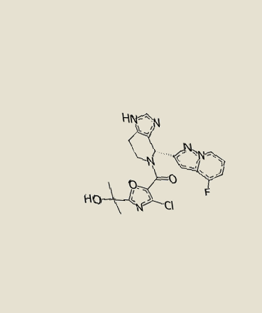 CC(C)(O)c1nc(Cl)c(C(=O)N2CCc3[nH]cnc3[C@@H]2c2cc3c(F)cccn3n2)o1